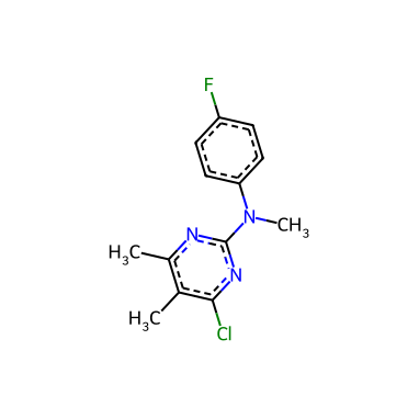 Cc1nc(N(C)c2ccc(F)cc2)nc(Cl)c1C